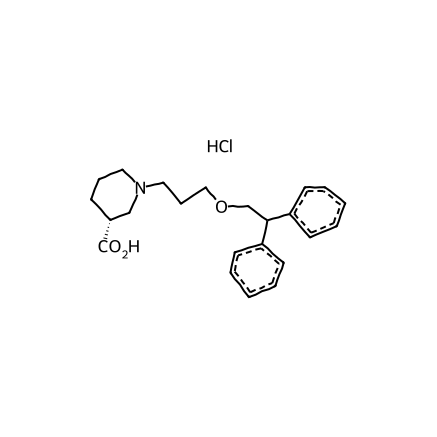 Cl.O=C(O)[C@@H]1CCCN(CCCOCC(c2ccccc2)c2ccccc2)C1